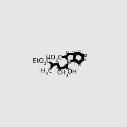 CCOC(=O)C(C)CC(C)C(O)N1c2ccccc2CC1C(=O)O